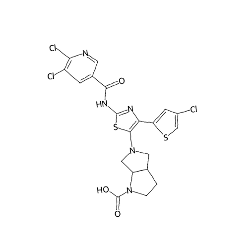 O=C(Nc1nc(-c2cc(Cl)cs2)c(N2CC3CCN(C(=O)O)C3C2)s1)c1cnc(Cl)c(Cl)c1